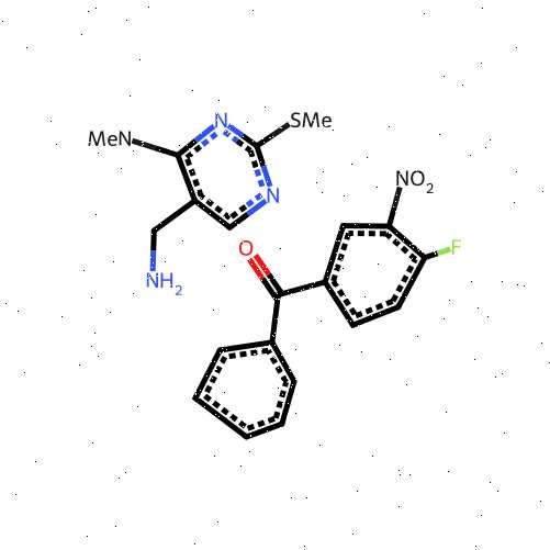 CNc1nc(SC)ncc1CN.O=C(c1ccccc1)c1ccc(F)c([N+](=O)[O-])c1